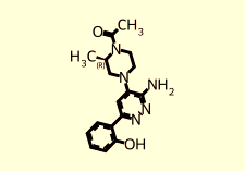 CC(=O)N1CCN(c2cc(-c3ccccc3O)nnc2N)C[C@H]1C